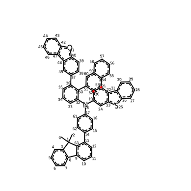 CC1(C)c2ccccc2-c2cccc(-c3ccc(N(c4ccc5c(c4)sc4ccccc45)c4cccc(-c5ccc6oc7ccccc7c6c5)c4-c4ccc5ccccc5c4)cc3)c21